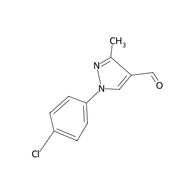 Cc1nn(-c2ccc(Cl)cc2)cc1C=O